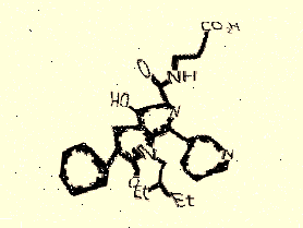 CCC(CC)Cn1c(=O)c(-c2ccccc2)cc2c(O)c(C(=O)NCCC(=O)O)nc(-c3cccnc3)c21